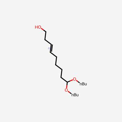 CCCCOC(CCCC/C=C/CCO)OCCCC